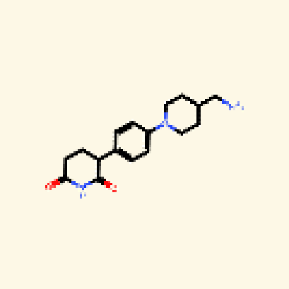 NCC1CCN(c2ccc(C3CCC(=O)NC3=O)cc2)CC1